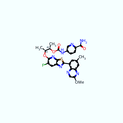 COc1cnc2c(-c3nc4cc(F)c(O[C@@H](C)[C@@H](C)OC(=O)Nc5ccc(C(N)=O)nc5)nc4s3)cc(C)cc2n1